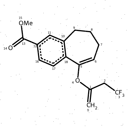 C=C(CC(F)(F)F)OC1=CCCCc2cc(C(=O)OC)ccc21